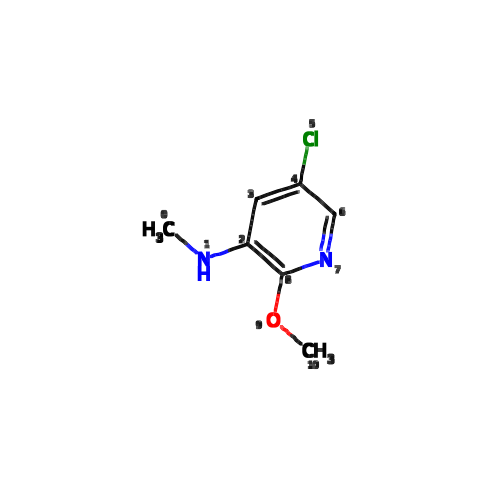 CNc1cc(Cl)cnc1OC